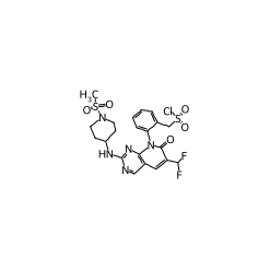 CS(=O)(=O)N1CCC(Nc2ncc3cc(C(F)F)c(=O)n(-c4ccccc4CS(=O)(=O)Cl)c3n2)CC1